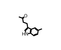 CC(=O)CCc1c[nH]c2ccc(C)cc12